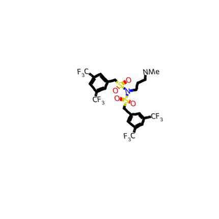 CNCCCN(S(=O)(=O)Cc1cc(C(F)(F)F)cc(C(F)(F)F)c1)S(=O)(=O)Cc1cc(C(F)(F)F)cc(C(F)(F)F)c1